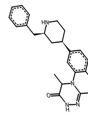 CC1C(=O)NN=C2COc3ccc([C@@H]4CCN[C@H](Cc5ccccc5)C4)cc3N21